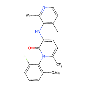 COc1cccc(F)c1-n1c(C(F)(F)F)ccc(Nc2c(C)ccnc2C(C)C)c1=O